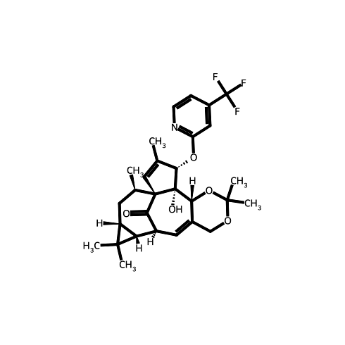 CC1=C[C@]23C(=O)[C@@H](C=C4COC(C)(C)O[C@H]4[C@]2(O)[C@H]1Oc1cc(C(F)(F)F)ccn1)[C@H]1[C@@H](C[C@H]3C)C1(C)C